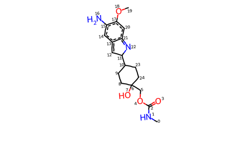 CNC(=O)OCC1(O)CCC(C2C=c3cc(N)c(OC)cc3=N2)CC1